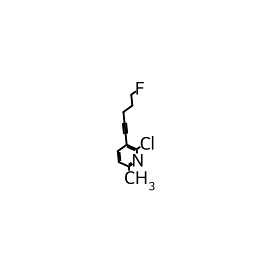 Cc1ccc(C#CCCCF)c(Cl)n1